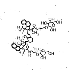 COC1=C(/C=C/C2=[N+](C(C)C(=O)NCCCO[C@@H]3[C@@H](O)[C@H](O)[C@@H](CO)O[C@@H]3O)c3ccc4ccccc4c3C2(C)C)CCC/C1=C\C=C1\N(C(C)C(=O)NCCCO[C@@H]2[C@@H](O)C[C@@H](CO)O[C@@H]2C)c2ccc3ccccc3c2C1(C)C